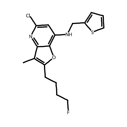 Cc1c(CCCCF)oc2c(NCc3cccs3)cc(Cl)nc12